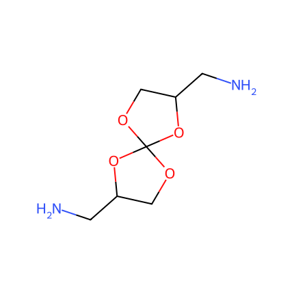 NCC1COC2(OCC(CN)O2)O1